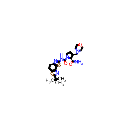 CC(C)(C)c1nc2c(s1)CCc1nc(NC(=O)N3CC[C@@H](CN4CCOCC4)[C@H]3C(N)=O)sc1-2